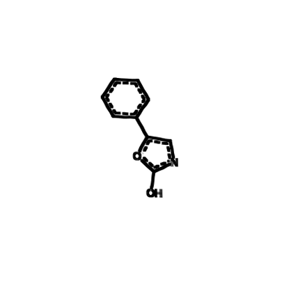 Oc1ncc(-c2ccccc2)o1